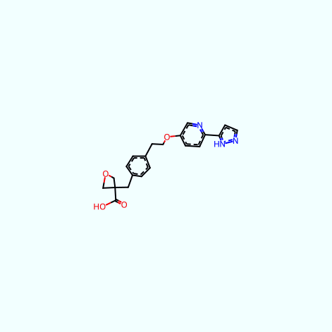 O=C(O)C1(Cc2ccc(CCOc3ccc(-c4ccn[nH]4)nc3)cc2)COC1